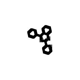 c1ccc(-c2nc(-c3ccccn3)nc3ccccc23)cc1